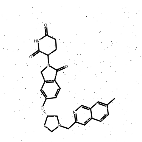 Cc1ccc2cc(CN3CC[C@H](Oc4ccc5c(c4)CN(C4CCC(=O)NC4=O)C5=O)C3)ncc2c1